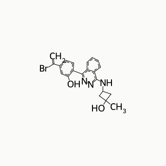 C=C(Br)c1ccc(-c2nnc(NC3CC(C)(O)C3)c3ccccc23)c(O)c1